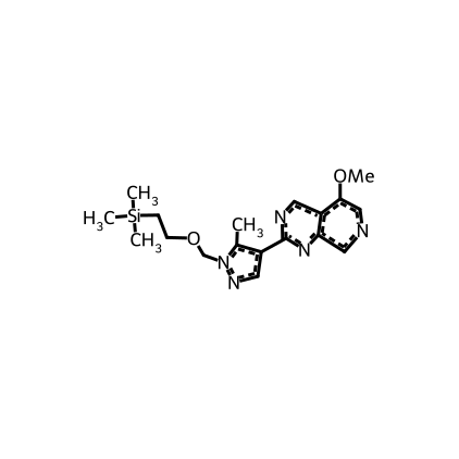 COc1cncc2nc(-c3cnn(COCC[Si](C)(C)C)c3C)ncc12